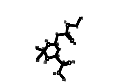 CCOC(=O)CC1CC(C(=O)OC)OC(C)(C)O1